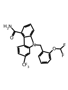 NC(=O)c1cccc2c1c1[c]cc(C(F)(F)F)cc1n2Cc1ccccc1OC(F)F